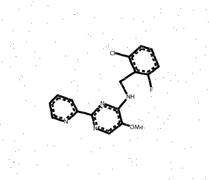 COc1cnc(-c2ccccn2)nc1NCc1c(F)cccc1Cl